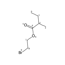 CCC(C)C(=O)OCCBr